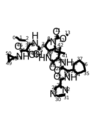 CCC[C@H](NC(=O)[C@@H]1CN(C(=O)OC)C[C@@H]1NC(=O)[C@@H](NC(=O)[C@@H](NC(=O)c1cnccn1)C1CCCCC1)C(C)(C)C)C(O)C(=O)NC1CC1